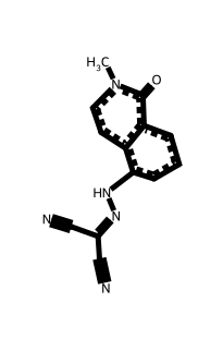 Cn1ccc2c(NN=C(C#N)C#N)cccc2c1=O